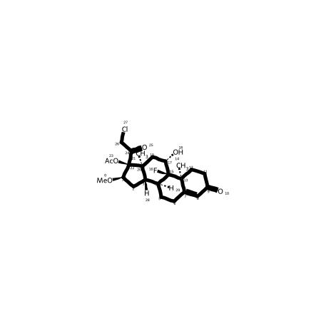 CO[C@@H]1C[C@H]2[C@@H]3CCC4=CC(=O)CC[C@]4(C)[C@@]3(F)[C@@H](O)C[C@]2(C)[C@@]1(OC(C)=O)C(=O)CCl